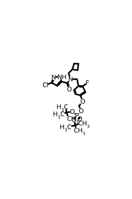 CC(C)(C)OP(=O)(OCOc1ccc(CN(CC2CCC2)C(=O)c2cc(Cl)n[nH]2)c(F)c1)OC(C)(C)C